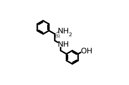 N[C@H](CNCc1cccc(O)c1)c1ccccc1